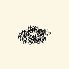 COc1cccc2c1C(=O)c1c(O)c3c(c(O)c1C2=O)C[C@@](O)(C(=O)CO)C[C@@H]3OC1CC(NOC(=O)C(O)C(O)C(=O)ONC2CC(O[C@H]3C[C@](O)(C(=O)CO)Cc4c(O)c5c(c(O)c43)C(=O)c3c(OC)cccc3C5=O)OC(C)C2O)C(O)C(C)O1